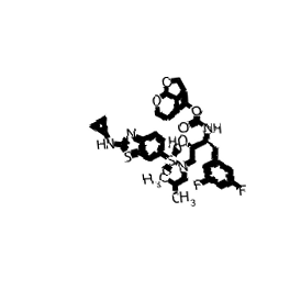 CC(C)CN(C[C@@H](O)[C@H](Cc1cc(F)cc(F)c1)NC(=O)OC1=C2COC3OCC1CC23)S(=O)(=O)c1ccc2nc(NC3CC3)sc2c1